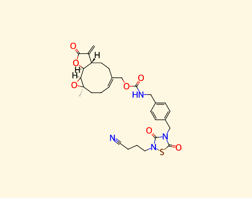 C=C1C(=O)O[C@H]2[C@H]1CC/C(COC(=O)NCc1ccc(Cn3c(=O)sn(CCCC#N)c3=O)cc1)=C\CC[C@@]1(C)O[C@@H]21